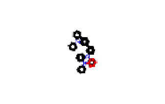 c1ccc(N(c2ccccc2)c2ccccc2N(c2ccccc2)c2cccc(-c3ccc4c5ccccc5n(-c5ccccc5)c4c3)c2)cc1